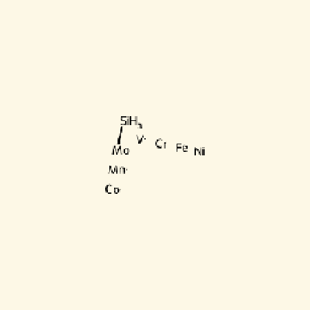 [Co].[Cr].[Fe].[Mn].[Ni].[SiH3][Mo].[V]